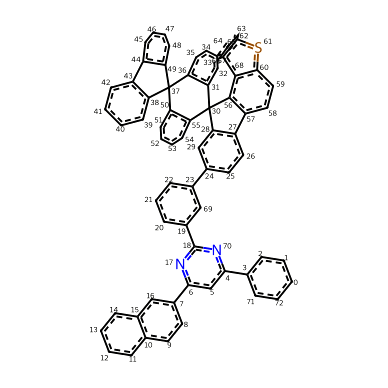 c1ccc(-c2cc(-c3ccc4ccccc4c3)nc(-c3cccc(-c4ccc5c(c4)C4(c6ccccc6C6(c7ccccc7-c7ccccc76)c6ccccc64)c4c-5ccc5sc6ccccc6c45)c3)n2)cc1